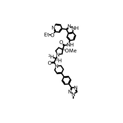 [2H]C([2H])(C(=O)N1CC=C(c2ccc(-c3ncn(C)n3)cc2)CC1)N1CC[C@@](OC)(C(=O)Nc2ccc3[nH]nc(-c4ccnc(OCC)c4)c3c2)C1